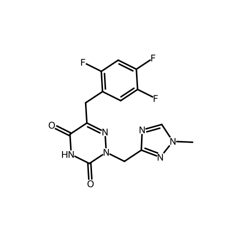 Cn1cnc(Cn2nc(Cc3cc(F)c(F)cc3F)c(=O)[nH]c2=O)n1